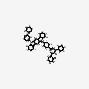 c1ccc(-c2cccc(-n3c4ccccc4c4cc5c(cc43)c3ccccc3n5-c3ccc(-c4nc(-c5ccccc5)cc(-c5ccccc5)n4)cc3)c2)cc1